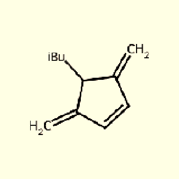 C=C1C=CC(=C)C1C(C)CC